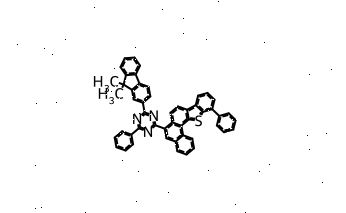 CC1(C)c2ccccc2-c2ccc(-c3nc(-c4ccccc4)nc(-c4cc5ccccc5c5c4ccc4c6cccc(-c7ccccc7)c6sc45)n3)cc21